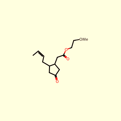 C/C=C\CC1CC(=O)CC1CC(=O)OCCOC